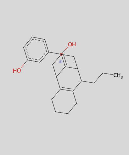 CCCC1C2=C(CCCC2)C2CCCC1/C2=C(\O)c1cccc(O)c1